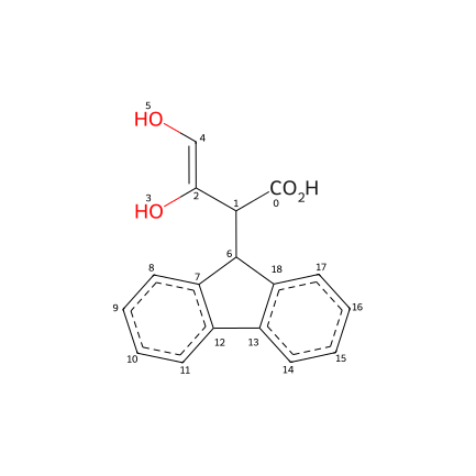 O=C(O)C(C(O)=CO)C1c2ccccc2-c2ccccc21